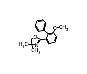 COc1cccc(C2=NC(C)(C)CO2)c1-c1ccccc1